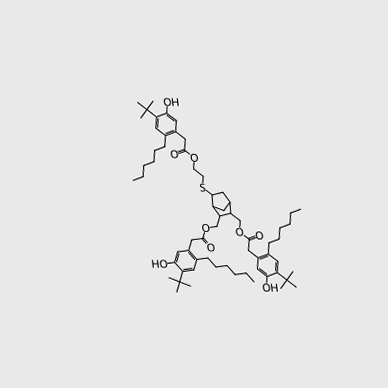 CCCCCCc1cc(C(C)(C)C)c(O)cc1CC(=O)OCCSC1CC2CC1C(COC(=O)Cc1cc(O)c(C(C)(C)C)cc1CCCCCC)C2COC(=O)Cc1cc(O)c(C(C)(C)C)cc1CCCCCC